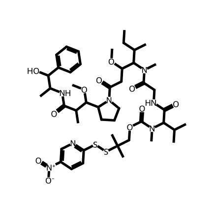 CCC(C)C(C(CC(=O)N1CCCC1C(OC)C(C)C(=O)NC(C)C(O)c1ccccc1)OC)N(C)C(=O)CNC(=O)C(C(C)C)N(C)C(=O)OCC(C)(C)SSc1ccc([N+](=O)[O-])cn1